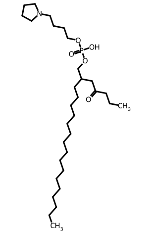 CCCCCCCCCCCCCCCCC(COP(=O)(O)OCCCCN1CCCC1)CC(=O)CCC